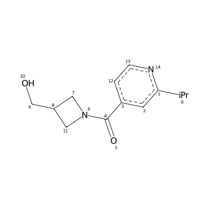 CC(C)c1cc(C(=O)N2CC(CO)C2)ccn1